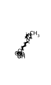 Cn1cc[n+](CCCCCOS(=O)(=O)O)c1